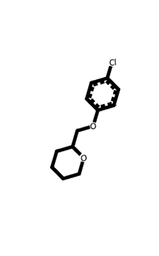 Clc1c[c]c(OCC2CCCCO2)cc1